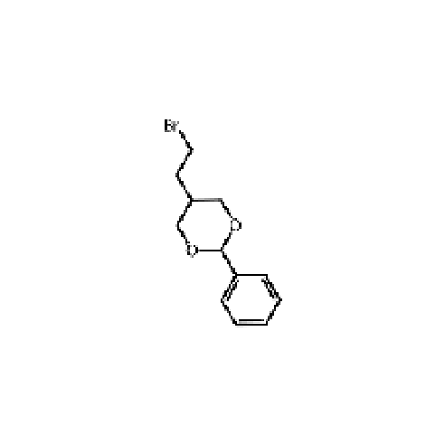 BrCCC1COC(c2ccccc2)OC1